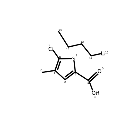 Cc1cc(C(=O)O)sc1Cl.[Li][CH2]CCC